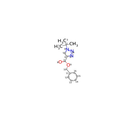 CC(C)(C)n1cc(C(=O)OCc2ccccc2)nn1